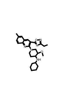 CCc1noc(-c2cc3cc(C)ccc3nc2N2CCC(NC3CCCCC3)C(OC)C2)n1